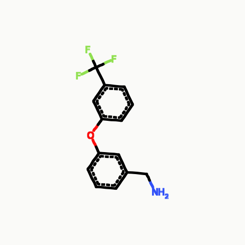 NCc1cccc(Oc2cccc(C(F)(F)F)c2)c1